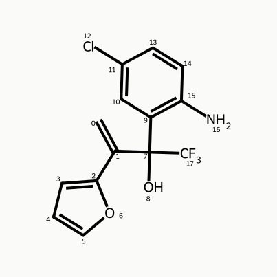 C=C(c1ccco1)C(O)(c1cc(Cl)ccc1N)C(F)(F)F